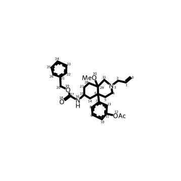 C=CCN1CCC2(c3cccc(OC(C)=O)c3)CC(NC(=O)OCc3ccccc3)CCC2(OC)C1